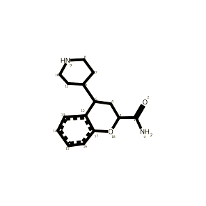 NC(=O)C1CC(C2CCNCC2)c2c[c]ccc2O1